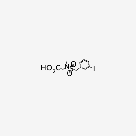 CN(CC(=O)O)S(=O)(=O)Cc1cccc(I)c1